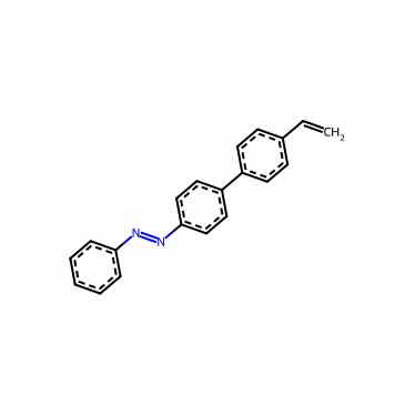 C=Cc1ccc(-c2ccc(/N=N/c3ccccc3)cc2)cc1